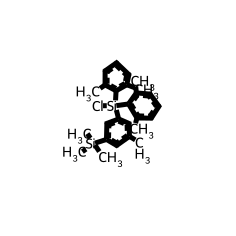 Cc1cc([Si](C)(C)C)cc([Si](Cl)(c2c(C)cccc2C)c2c(C)cccc2C)c1